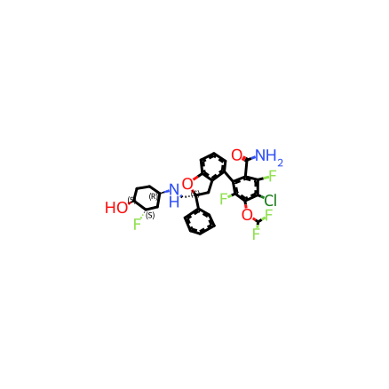 NC(=O)c1c(F)c(Cl)c(OC(F)F)c(F)c1-c1cccc2c1C[C@@](CN[C@@H]1CC[C@H](O)[C@@H](F)C1)(c1ccccc1)O2